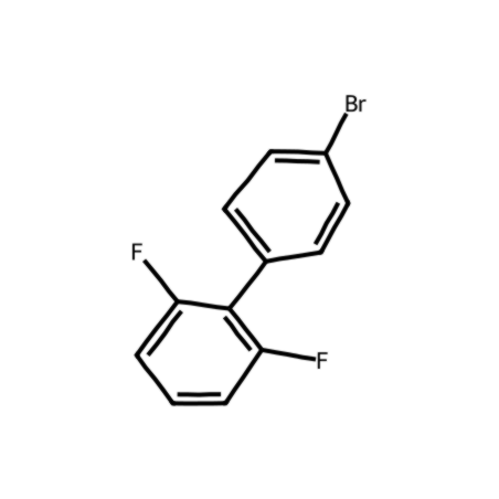 Fc1cccc(F)c1-c1ccc(Br)cc1